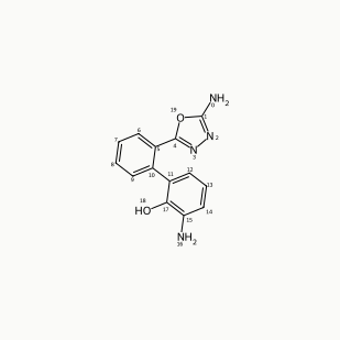 Nc1nnc(-c2ccccc2-c2cccc(N)c2O)o1